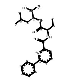 CCC(NC(=O)c1cccc(-c2ccccc2)n1)C(=O)N[C@@H](CC(C)C)B(O)O